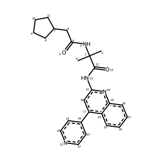 CC(C)(NC(=O)CC1CCCC1)C(=O)Nc1cc(-c2ccncc2)c2ccccc2n1